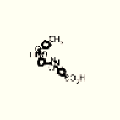 Cc1ccc(S(=O)(=O)Nc2cccc(-c3nnc(-c4ccc(C(=O)O)cc4)o3)c2)cc1